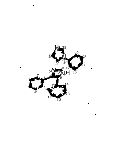 c1ccc(-c2nc[nH]c2-c2ccccc2)cc1.c1ccc(-n2ccnc2)cc1